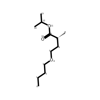 CCCCOCC[C@@H](C)C(=O)OC(C)C